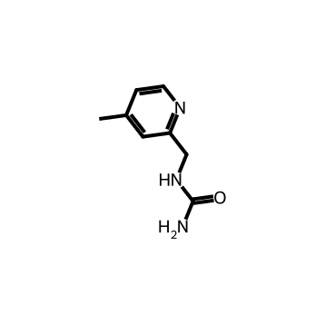 Cc1ccnc(CNC(N)=O)c1